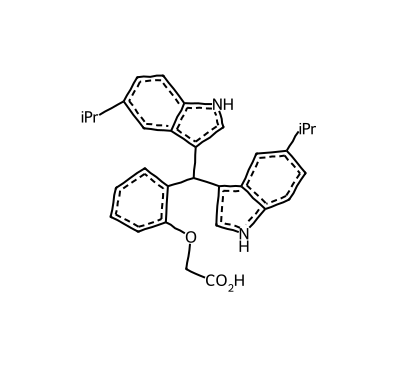 CC(C)c1ccc2[nH]cc(C(c3ccccc3OCC(=O)O)c3c[nH]c4ccc(C(C)C)cc34)c2c1